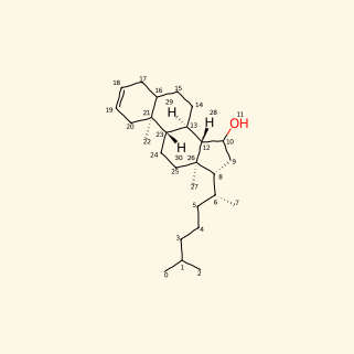 CC(C)CCC[C@@H](C)[C@H]1CC(O)[C@H]2[C@@H]3CCC4CC=CC[C@]4(C)[C@H]3CC[C@]12C